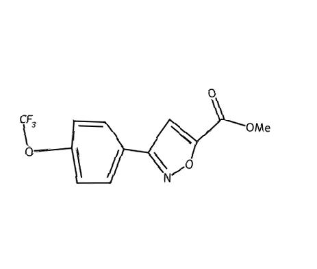 COC(=O)c1cc(-c2ccc(OC(F)(F)F)cc2)no1